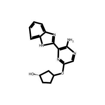 Nc1ncc(OC2CC[C@H](O)C2)nc1-c1nc2ccccc2[nH]1